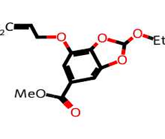 C=CCOc1cc(C(=O)OC)cc2c1OC(OCC)O2